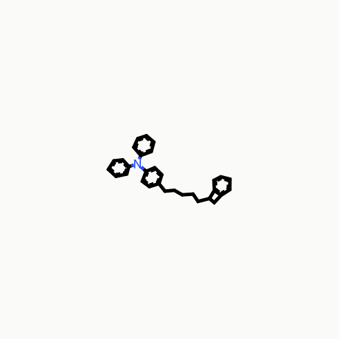 c1ccc(N(c2ccccc2)c2ccc(CCCCCC3Cc4ccccc43)cc2)cc1